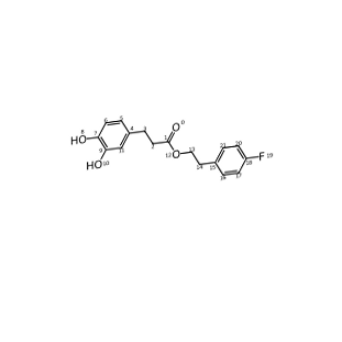 O=C(CCc1ccc(O)c(O)c1)OCCc1ccc(F)cc1